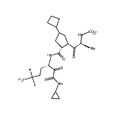 CC(F)(F)CC[C@H](NC(=O)[C@@H]1CC(C2CCC2)CN1C(=O)[C@@H](NC(=O)O)C(C)(C)C)C(=O)C(=O)NC1CC1